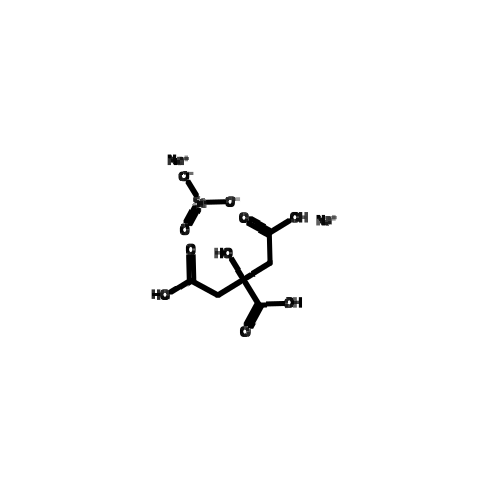 O=C(O)CC(O)(CC(=O)O)C(=O)O.O=[Se]([O-])[O-].[Na+].[Na+]